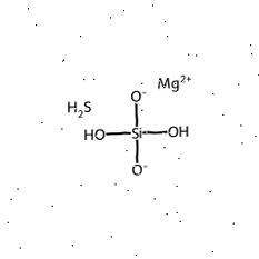 S.[Mg+2].[O-][Si]([O-])(O)O